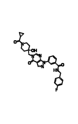 O=C(NCc1ccc(F)cc1)c1cccc(-n2ncc3c(=O)n(CC4(O)CCN(C(=O)C5CC5)CC4)cnc32)c1